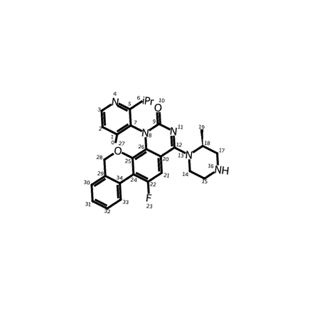 Cc1ccnc(C(C)C)c1-n1c(=O)nc(N2CCNC[C@@H]2C)c2cc(F)c3c(c21)OCc1ccccc1-3